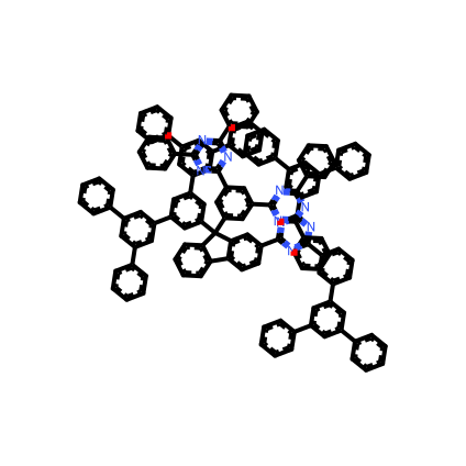 c1ccc(-c2cc(-c3ccccc3)cc(-c3cccc(-c4nc(-c5cc(-c6ccccc6)cc(-c6ccccc6)c5)nc(-c5ccc6c(c5)C(c5cc(-c7cc(-c8ccccc8)cc(-c8ccccc8)c7)cc(-c7cc(-c8ccccc8)cc(-c8ccccc8)c7)c5)(c5cc(-c7nc(-c8ccccc8)nc(-c8ccccc8)n7)cc(-c7nc(-c8ccccc8)nc(-c8ccccc8)n7)c5)c5ccccc5-6)n4)c3)c2)cc1